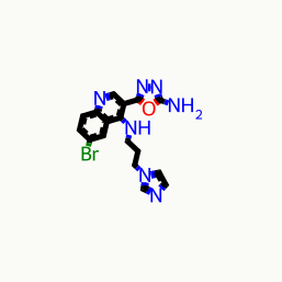 Nc1nnc(-c2cnc3ccc(Br)cc3c2NCCCn2ccnc2)o1